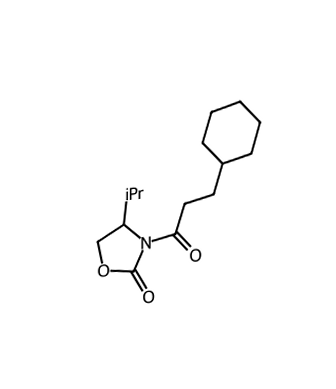 CC(C)C1COC(=O)N1C(=O)CCC1CCCCC1